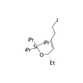 CC[C@@H](C=CCCI)O[Si](C(C)C)(C(C)C)C(C)C